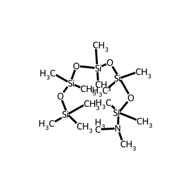 CN(C)[Si](C)(C)O[Si](C)(C)O[Si](C)(C)O[Si](C)(C)O[Si](C)(C)C